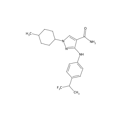 CC1CCC(n2cc(C(N)=O)c(Nc3ccc(C(C)C(F)(F)F)cc3)n2)CC1